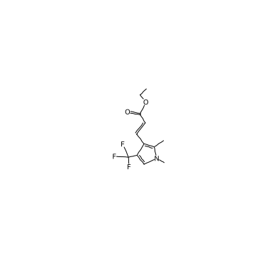 CCOC(=O)C=Cc1c(C(F)(F)F)cn(C)c1C